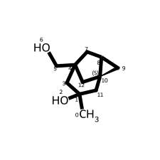 CC1(O)CC2(CO)CC3C[C@@]3(C1)C2